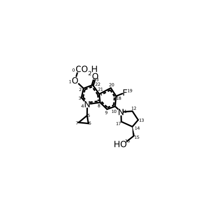 O=C(O)Oc1cn(C2CC2)c2cc(N3CC[C@@H](CO)C3)c(F)cc2c1=O